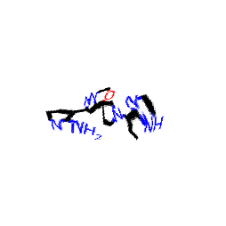 CCC(c1ncc[nH]1)N1CC[C@]2(C1)OCCn1nc(-c3cccnc3N)cc12